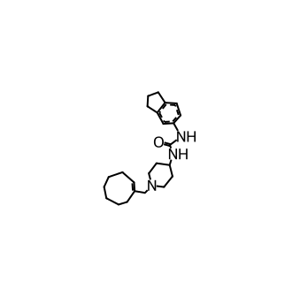 O=C(Nc1ccc2c(c1)CCC2)NC1CCN(CC2=CCCCCCC2)CC1